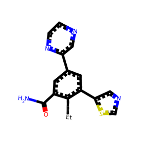 CCc1c(C(N)=O)cc(-c2cnccn2)cc1-c1cncs1